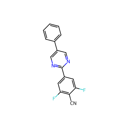 N#Cc1c(F)cc(-c2ncc(-c3ccccc3)cn2)cc1F